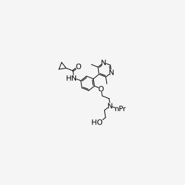 CCCN(CCO)CCOc1ccc(NC(=O)C2CC2)cc1-c1c(C)ncnc1C